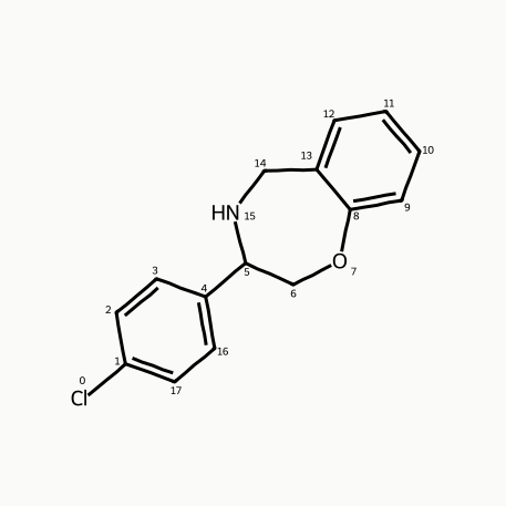 Clc1ccc(C2COc3ccccc3CN2)cc1